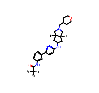 [2H]C([2H])([2H])C(=O)Nc1cccc(-c2ccc(NC3C[C@@H]4CN(CC5CCOCC5)C[C@@H]4C3)nn2)c1